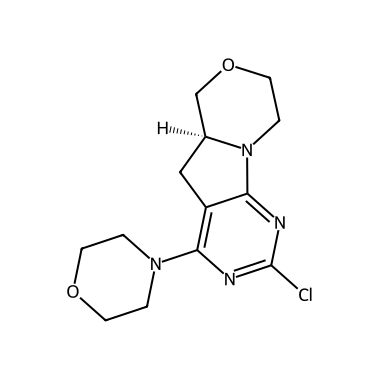 Clc1nc(N2CCOCC2)c2c(n1)N1CCOC[C@@H]1C2